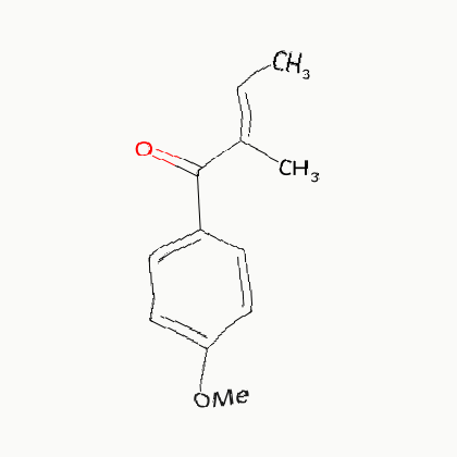 C/C=C(\C)C(=O)c1ccc(OC)cc1